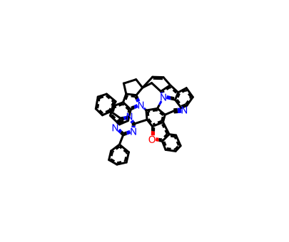 N#Cc1c2c(c(-c3nc(-c4ccccc4)nc(-c4ccccc4)n3)c3oc4ccccc4c13)-n1c3c(c4ccccc41)CCC31C=Cc3c(n-2c2ccccc32)C1